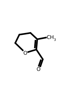 CC1=C(C=O)OCCC1